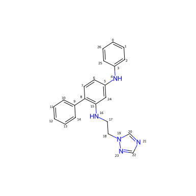 c1ccc(Nc2ccc(-c3ccccc3)c(NCCn3cncn3)c2)cc1